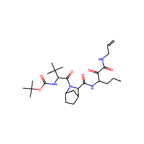 C=CCNC(=O)C(=O)C(CCC)NC(=O)C1C2CCC(C2)N1C(=O)C(NC(=O)OC(C)(C)C)C(C)(C)C